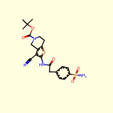 CC(C)(C)OC(=O)N1CCc2sc(NC(=O)Cc3ccc(S(N)(=O)=O)cc3)c(C#N)c2C1